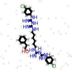 N=C(NCCCCCCNC(=N)NC(=N)Nc1ccc(Cl)cc1)NC(=N)Nc1ccc(Cl)cc1.OCCc1ccccc1